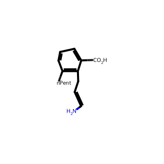 CCCCCc1cccc(C(=O)O)c1CC=CN